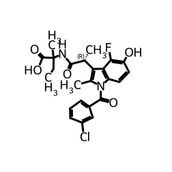 CCC(C)(NC(=O)[C@H](C)c1c(C)n(C(=O)c2cccc(Cl)c2)c2ccc(O)c(F)c12)C(=O)O